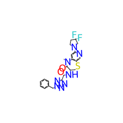 CN1C(=O)[C@@H](NC(=O)c2nnn(Cc3ccccc3)n2)CSc2cnc(N3CCC(F)(F)C3)cc21